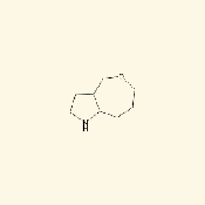 C1COCC2CCNC2C1